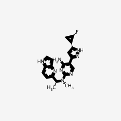 C[C@H](c1ccc2[nH]ccc2n1)N(C)c1ncc(-c2cc([C@@H]3C[C@@H]3F)[nH]n2)c(N)n1